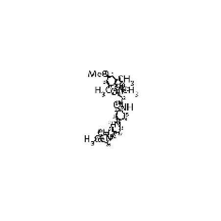 COc1cc(C)c(S(=O)(=O)N(C)CCC(=O)NC2CCC(N3CCC(CN4CCC(C)(C)C4)CC3)CC2)c(C)c1